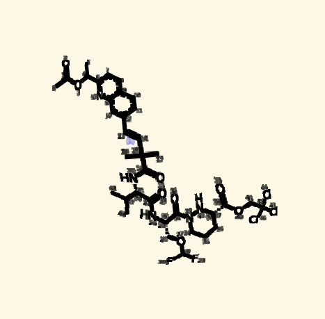 CC(=O)OC(C)c1ccc2ccc(/C=C/C(C)(C)C(=O)N[C@H](C(=O)N[C@@H](COC(F)F)C(=O)N3CCC[C@@H](C(=O)OCC(Cl)(Cl)Cl)N3)C(C)C)cc2n1